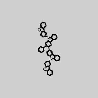 c1ccc(-c2cc3c(cc2-c2ccc4c(c2)c2ccccc2n4-c2ccc4oc5ccccc5c4c2)c2ccccc2n3-c2ccc3oc4ccccc4c3c2)cc1